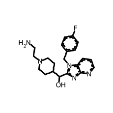 NCCN1CCC(C(O)c2nc3ncccc3n2Cc2ccc(F)cc2)CC1